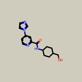 O=C(NC1CCC(CO)CC1)c1cc(-n2ccnc2)ccn1